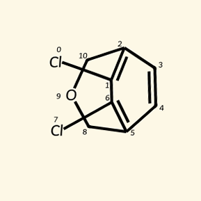 Clc1c2ccc(c1Cl)COC2